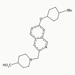 CC(C)(C)C1CCC(Oc2ccc3cc(CN4CCC(C(=O)O)CC4)ncc3c2)CC1